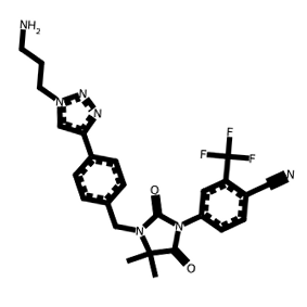 CC1(C)C(=O)N(c2ccc(C#N)c(C(F)(F)F)c2)C(=O)N1Cc1ccc(-c2cn(CCCN)nn2)cc1